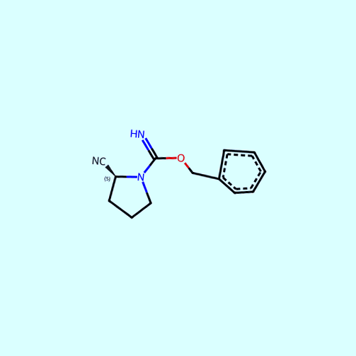 N#C[C@@H]1CCCN1C(=N)OCc1ccccc1